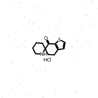 Cl.O=C1c2sccc2CCC12CCCCN2